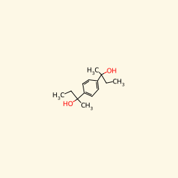 CCC(C)(O)c1ccc(C(C)(O)CC)cc1